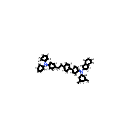 Cc1cc(C)cc(N(c2ccc(-c3ccc(/C=C/c4ccc(N(c5ccccc5)c5ccccc5)cc4)cc3)cc2)c2ccc3ccccc3c2)c1